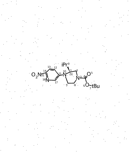 CC(C)[C@H]1CN(C(=O)OC(C)(C)C)CCN1c1ccc([N+](=O)[O-])nc1